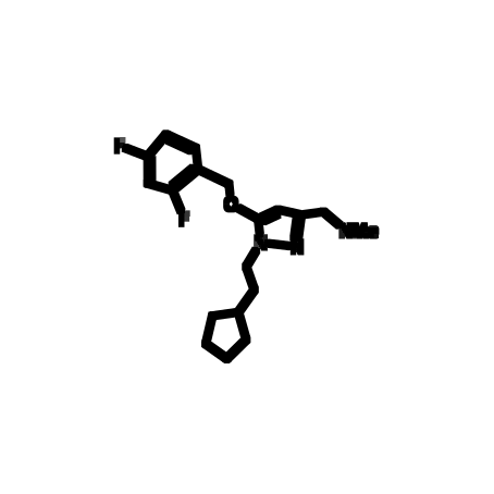 CNCc1cc(OCc2ccc(F)cc2F)n(CCC2CCCC2)n1